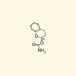 NC(=O)O[C@@H]1CCc2ccccc2O1